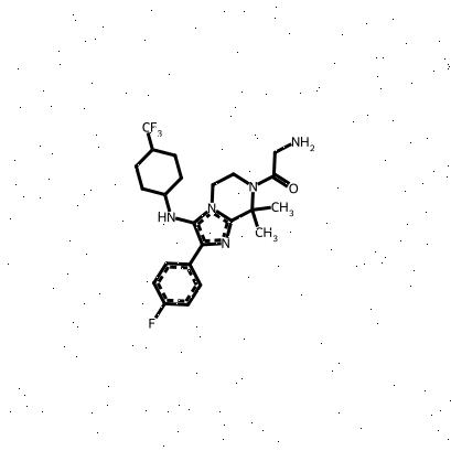 CC1(C)c2nc(-c3ccc(F)cc3)c(NC3CCC(C(F)(F)F)CC3)n2CCN1C(=O)CN